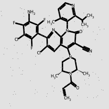 C=CC(=O)N1[C@H](C)CN(c2c(C#N)c(=O)n(-c3c(C)ccnc3C(C)C)c3nc(-c4c(F)c(N)c(F)c(Cl)c4F)c(Cl)cc23)C[C@@H]1C